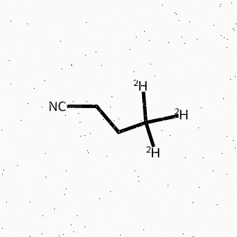 [2H]C([2H])([2H])CCC#N